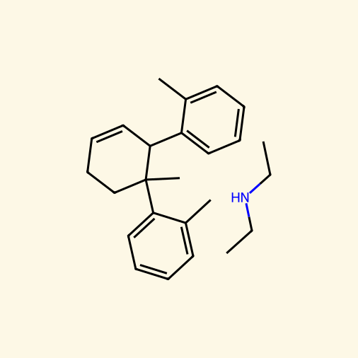 CCNCC.Cc1ccccc1C1C=CCCC1(C)c1ccccc1C